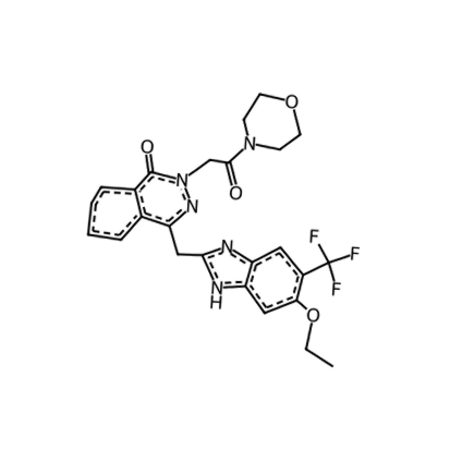 CCOc1cc2[nH]c(Cc3nn(CC(=O)N4CCOCC4)c(=O)c4ccccc34)nc2cc1C(F)(F)F